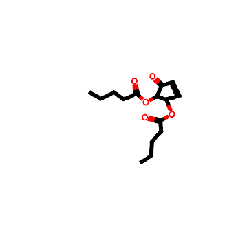 CCCCC(=O)OC1C=CC(=O)C1OC(=O)CCCC